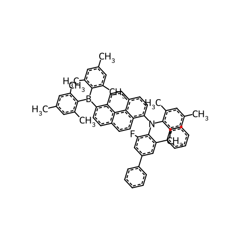 Cc1cc(C)c(B(c2c(C)cc(C)cc2C)c2ccc3ccc4c(N(c5c(C)cc(C)cc5C)c5c(F)cc(-c6ccccc6)cc5-c5ccccc5)ccc5ccc2c3c54)c(C)c1